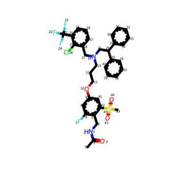 CC(=O)NCc1c(F)cc(OCCCN(Cc2cccc(C(F)(F)F)c2Cl)CC(c2ccccc2)c2ccccc2)cc1S(C)(=O)=O